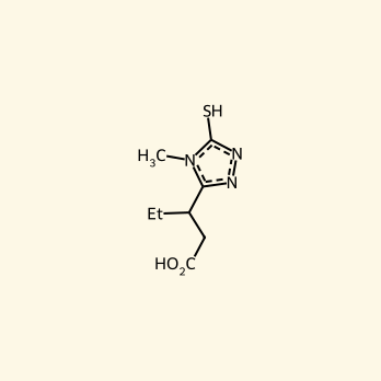 CCC(CC(=O)O)c1nnc(S)n1C